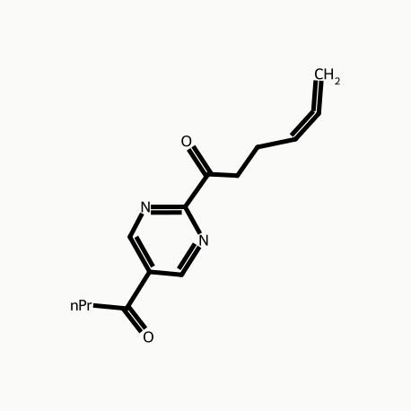 C=C=CCCC(=O)c1ncc(C(=O)CCC)cn1